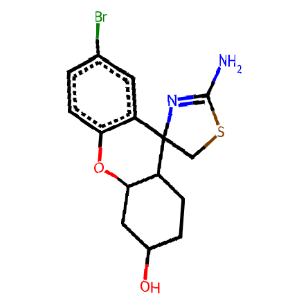 NC1=NC2(CS1)c1cc(Br)ccc1OC1CC(O)CCC12